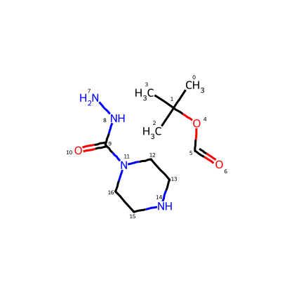 CC(C)(C)OC=O.NNC(=O)N1CCNCC1